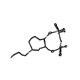 CCCC1CCC2OS(=O)(=O)CS(=O)(=O)OC2C1